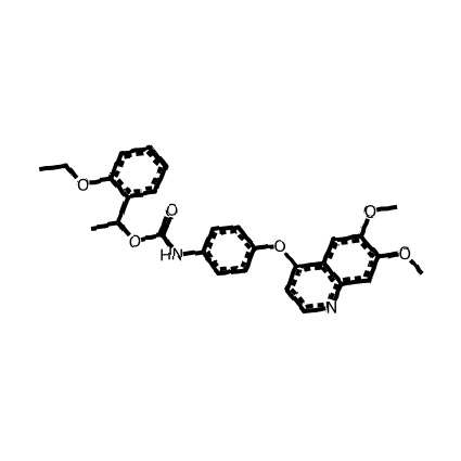 CCOc1ccccc1C(C)OC(=O)Nc1ccc(Oc2ccnc3cc(OC)c(OC)cc23)cc1